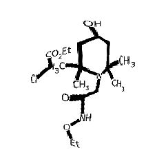 CCOC(=O)CCl.CCONC(=O)CN1C(C)(C)CC(O)CC1(C)C